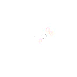 C=CC(Oc1ccc([C@H]2OC[C@H](CC)CO2)cc1)[C@H]1CC[C@H](CCCCC)CC1